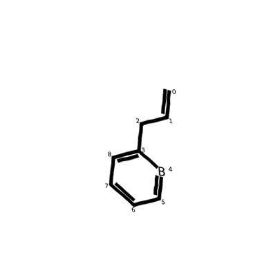 C=CCc1bcccc1